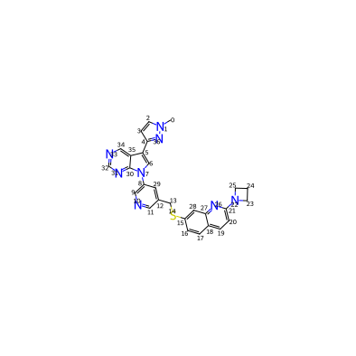 Cn1ccc(-c2cn(-c3cncc(CSc4ccc5ccc(N6CCC6)nc5c4)c3)c3ncncc23)n1